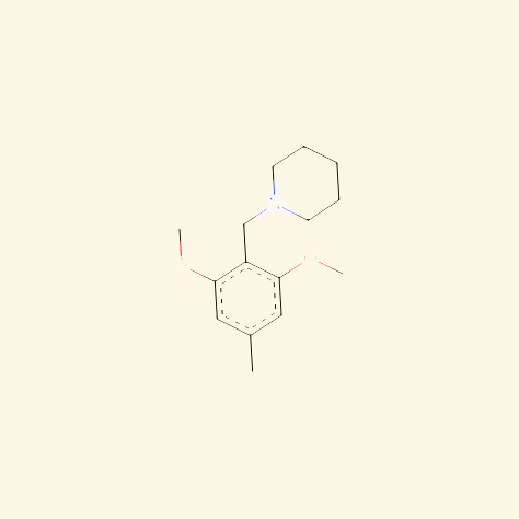 COc1cc(C)cc(OC)c1CN1CCCCC1